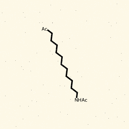 CC(=O)CCCCCCCCCCCNC(C)=O